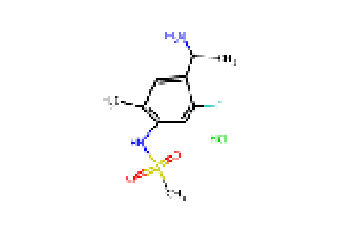 Cc1cc(C(C)N)c(F)cc1NS(C)(=O)=O.Cl